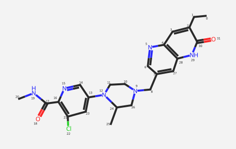 CCc1cc2ncc(CN3CCN(c4cnc(C(=O)NC)c(Cl)c4)C(C)C3)cc2[nH]c1=O